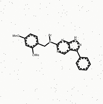 COc1ccc(CN(C(C)=O)c2ncc3c(-c4ccccc4)n[nH]c3n2)c(OC)c1